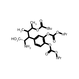 CCCOC(=O)Oc1ccc(C(C(C)C(C)OC(=O)C(C)(C)C)[C@H](N)C(=O)O)cc1OC(=O)OCCC